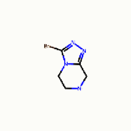 Brc1nnc2n1CC[N]C2